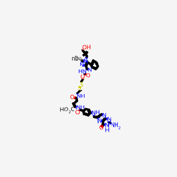 CCCCc1nc2c(NC(=O)OCCSSCCNC(=O)CC[C@@H](NC(=O)c3ccc(NCc4cnc5nc(N)[nH]c(=O)c5n4)cc3)C(=O)O)nc3ccccc3c2n1CC(C)(C)CO